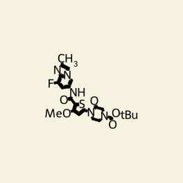 COc1cc(N2CCN(C(=O)OC(C)(C)C)CC2=O)sc1C(=O)Nc1cc(F)c2nc(C)cn2c1